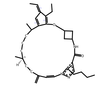 C=C1C=Cn2ncc(c2CCCC)C(=O)NC2CC(C2)OC(=C(/C)CC)/C(=C\C=C/C)C(C)CCC[C@H](C)CC1